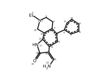 CCN1CCc2c(-c3ccccc3)cc3c(c2C1)NC(=O)C3=CN